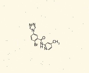 Cc1ccnc(NC(=O)c2cc(-n3cnnc3)ccc2Br)c1